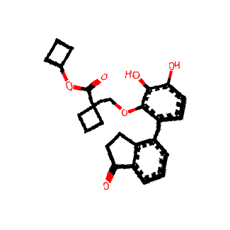 O=C1CCc2c1cccc2-c1ccc(O)c(O)c1OCC1(C(=O)OC2CCC2)CCC1